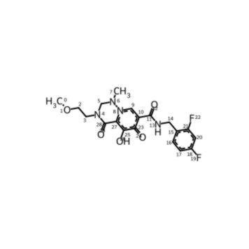 COCCN1CN(C)n2cc(C(=O)NCc3ccc(F)cc3F)c(=O)c(O)c2C1=O